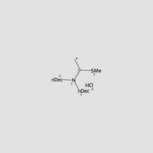 CCCCCCCCCCN(CCCCCCCCCC)C(C)SC.Cl